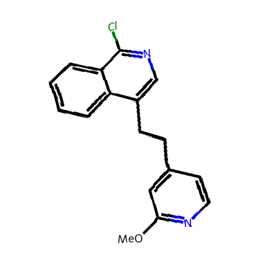 COc1cc(CCc2cnc(Cl)c3ccccc23)ccn1